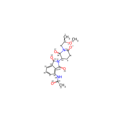 CO[C@H](C)CN1C(=O)CCC(N2C(=O)c3cccc(NC(C)=O)c3C2=O)C1=O